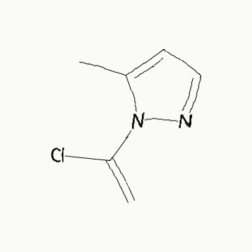 C=C(Cl)n1nccc1C